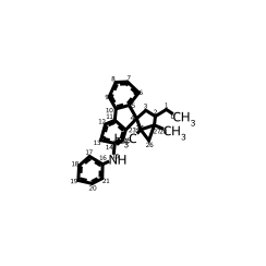 CCC1CC2(c3ccccc3-c3ccc(Nc4ccccc4)cc32)C2(C)CC12C